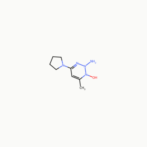 CC1=CC(N2CCCC2)=NN(N)N1O